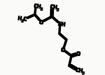 C=CC(=O)OCCNC(=C)OC(C)C